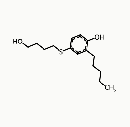 CCCCCc1cc(SCCCCO)ccc1O